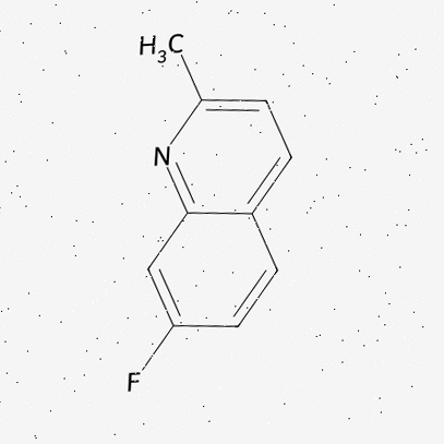 Cc1ccc2ccc(F)cc2n1